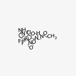 C=CC(=O)N1CCN2C(=O)c3c(N4CCOCC4)nc(-c4nc(N)ccc4C(F)(F)F)c(Cl)c3OC[C@H]2C1